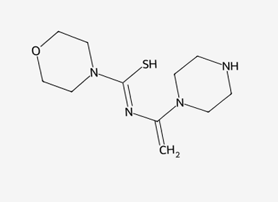 C=C(/N=C(\S)N1CCOCC1)N1CCNCC1